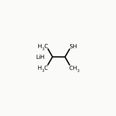 CC(C)C(C)S.[LiH]